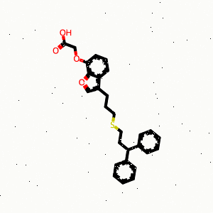 O=C(O)COc1cccc2c(CCCSCCC(c3ccccc3)c3ccccc3)coc12